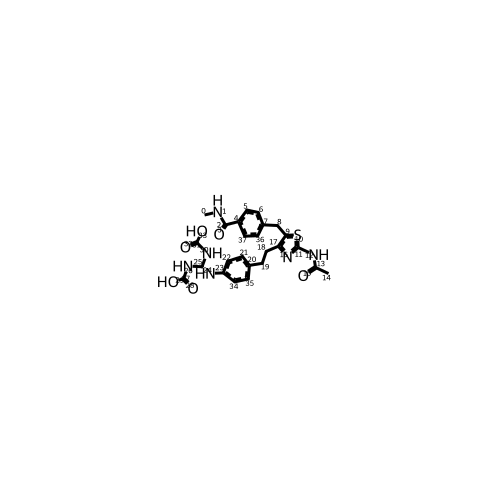 CNC(=O)c1ccc(Cc2sc(NC(C)=O)nc2CCc2ccc(NC(NC(=O)O)NC(=O)O)cc2)cc1